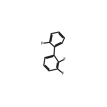 Fc1[c]ccc(-c2ccccc2F)c1F